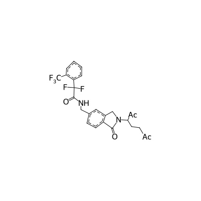 CC(=O)CCC(C(C)=O)N1Cc2cc(CNC(=O)C(F)(F)c3ccccc3C(F)(F)F)ccc2C1=O